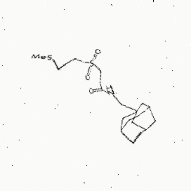 CSCCS(=O)(=O)CC(=O)NCC12CC3CC(CC(C3)C1)C2